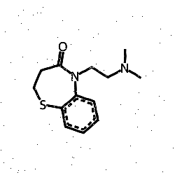 CN(C)CCN1C(=O)CCSc2ccccc21